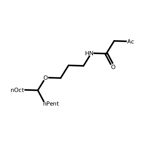 CCCCCCCCC(CCCCC)OCCCNC(=O)CC(C)=O